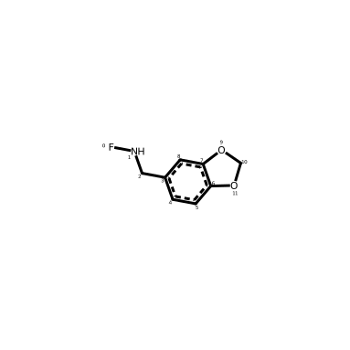 FNCc1ccc2c(c1)OCO2